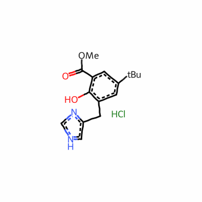 COC(=O)c1cc(C(C)(C)C)cc(Cc2c[nH]cn2)c1O.Cl